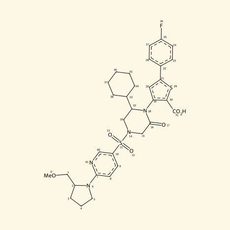 COCC1CCCN1c1ccc(S(=O)(=O)N2CC(=O)N(c3cc(-c4ccc(F)cc4)sc3C(=O)O)C(C3CCCCC3)C2)cn1